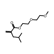 C=C(CC(C)C)C(=O)OCCOCCOC